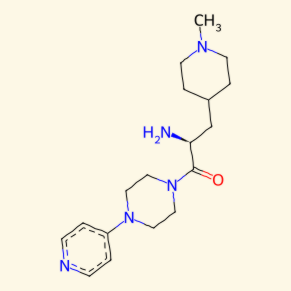 CN1CCC(C[C@H](N)C(=O)N2CCN(c3ccncc3)CC2)CC1